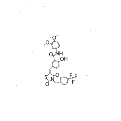 COc1ccc(NC(=O)c2cc(/C=C3/SC(=O)N(Cc4ccc(C(F)(F)F)cc4)C3=O)ccc2O)cc1OC